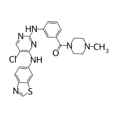 CN1CCN(C(=O)c2cccc(Nc3ncc(Cl)c(Nc4ccc5ncsc5c4)n3)c2)CC1